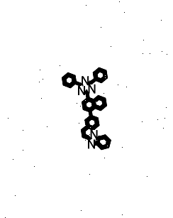 c1ccc(-c2nc(-c3ccccc3)nc(-c3ccc(-c4ccc5c(ccc6nc7ccccc7n65)c4)c4ccccc34)n2)cc1